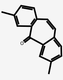 Cc1ccc2ccc3ccc(C)cc3c(=O)c2c1